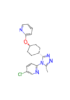 Cc1nnc([C@H]2CC[C@H](Oc3ccccn3)CC2)n1-c1ccc(Cl)cn1